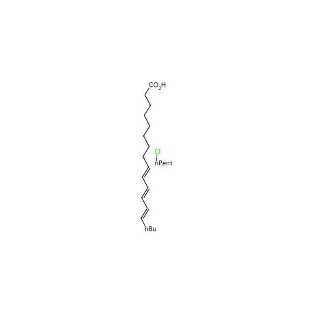 CCCCC=CC=CC=CCCCCCCCC(=O)O.CCCCCCl